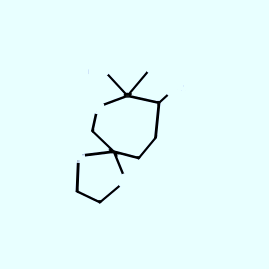 CCCC1(C)OCC2(CCC1OC(C)=O)OCCO2